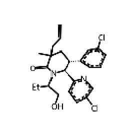 C=CCC1(C)C[C@H](c2cccc(Cl)c2)[C@@H](c2ccc(Cl)cn2)N(C(CC)CO)C1=O